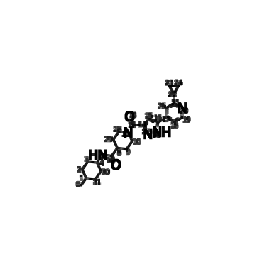 CC1CCC(NC(=O)C2CCN(C(=O)c3cc(-c4ccnc(C5CC5)c4)[nH]n3)CC2)CC1